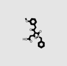 COc1cccc(CC(=O)C2C(=O)N(Cc3ccccc3)N=C2CC(=O)O)c1